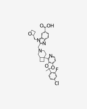 CC1(c2ccc(Cl)cc2F)Oc2ccnc(C34CCC3CN(Cc3nc5ccc(C(=O)O)cc5n3C[C@@H]3CCO3)CC4)c2O1